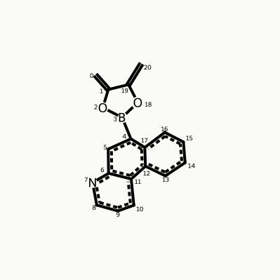 C=C1OB(c2cc3ncccc3c3ccccc23)OC1=C